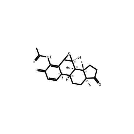 CC(=O)NC1=C2C3O[C@H]3[C@@H]3[C@H](CC[C@]4(C)C(=O)CC[C@@H]34)[C@@]2(C)C=CC1=O